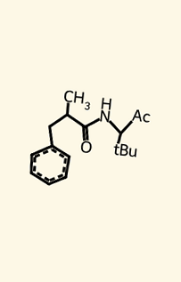 CC(=O)C(NC(=O)C(C)Cc1ccccc1)C(C)(C)C